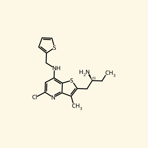 CC[C@H](N)Cc1sc2c(NCc3cccs3)cc(Cl)nc2c1C